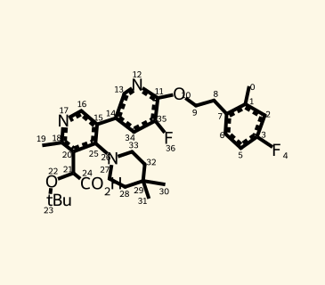 Cc1cc(F)ccc1CCOc1ncc(-c2cnc(C)c(C(OC(C)(C)C)C(=O)O)c2N2CCC(C)(C)CC2)cc1F